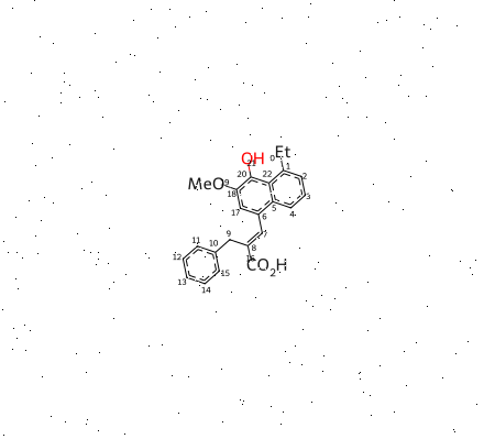 CCc1cccc2c(C=C(Cc3ccccc3)C(=O)O)cc(OC)c(O)c12